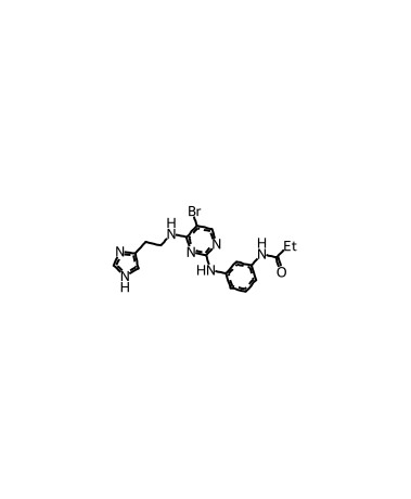 CCC(=O)Nc1cccc(Nc2ncc(Br)c(NCCc3c[nH]cn3)n2)c1